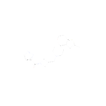 CCc1cc2c(s1)CCO[C@@]21CCN(CC2CN(C(=O)c3cc[nH]n3)C2)[C@@H](C)C1